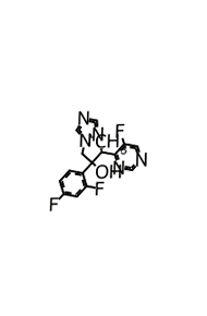 C[C@@H](c1ncncc1F)C(O)(Cn1cncn1)c1ccc(F)cc1F